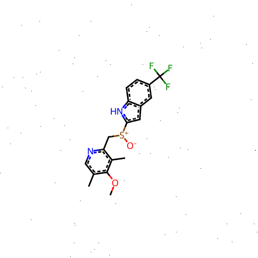 COc1c(C)cnc(C[S+]([O-])c2cc3cc(C(F)(F)F)ccc3[nH]2)c1C